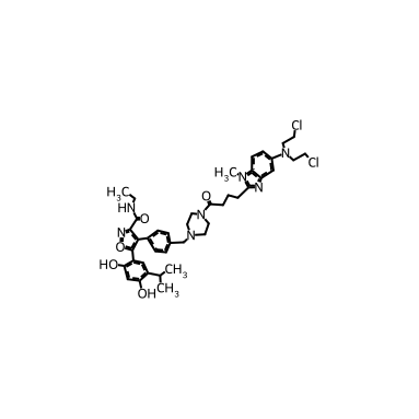 CCNC(=O)c1noc(-c2cc(C(C)C)c(O)cc2O)c1-c1ccc(CN2CCN(C(=O)CCCc3nc4cc(N(CCCl)CCCl)ccc4n3C)CC2)cc1